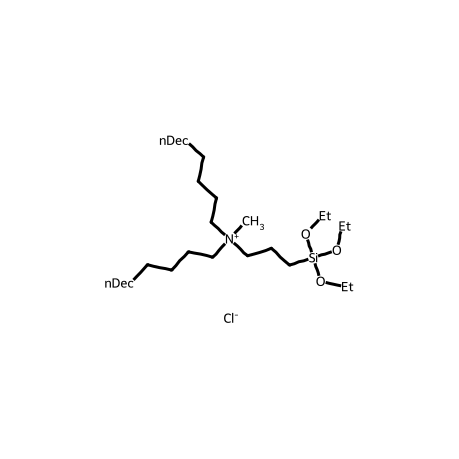 CCCCCCCCCCCCCC[N+](C)(CCCCCCCCCCCCCC)CCC[Si](OCC)(OCC)OCC.[Cl-]